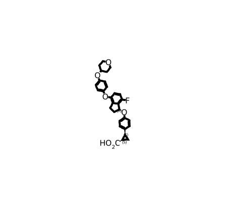 O=C(O)[C@H]1C[C@@H]1c1ccc(O[C@@H]2CCc3c(Oc4ccc(OC5CCOCC5)cc4)ccc(F)c32)cc1